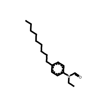 CCCCCCCCCc1ccc(N([C]=O)CC)cc1